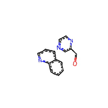 O=Cc1cnccn1.c1ccc2ncccc2c1